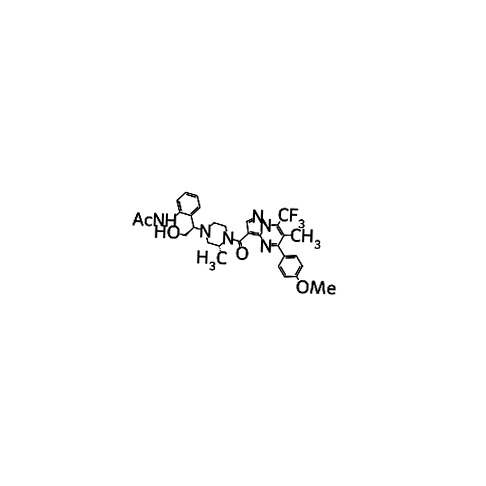 COc1ccc(-c2nc3c(C(=O)N4CCN([C@@H](CO)c5ccccc5NC(C)=O)C[C@H]4C)cnn3c(C(F)(F)F)c2C)cc1